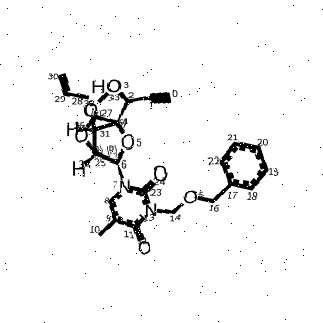 C#CC(O)[C@]12O[C@@H](n3cc(C)c(=O)n(COCc4ccccc4)c3=O)[C@H](O[C@@H]1CC=C)[C@@H]2OC